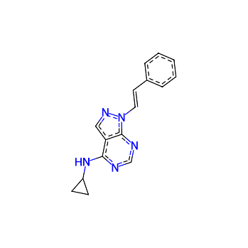 C(=Cn1ncc2c(NC3CC3)ncnc21)c1ccccc1